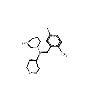 Fc1ccc(C(F)(F)F)c(CN(C2CCOCC2)[C@H]2CCCNC2)c1